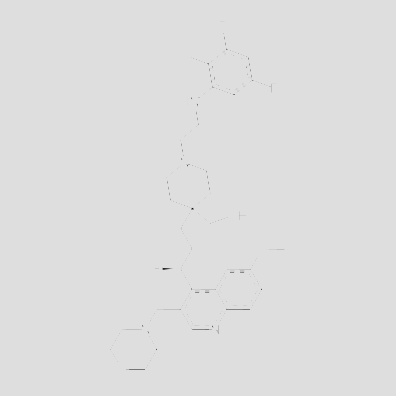 COc1ccc2ncc(CN3CCOCC3)c([C@@H](F)CCC3(CO)CCN(CCNc4cc(F)cc(F)c4F)CC3)c2c1